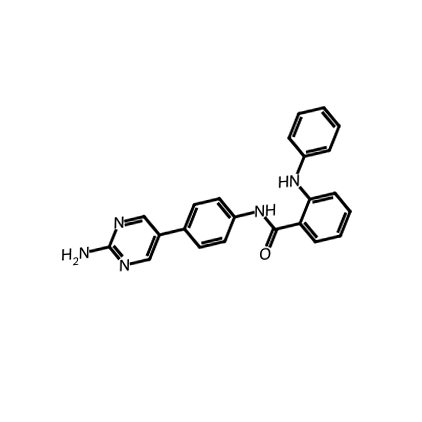 Nc1ncc(-c2ccc(NC(=O)c3ccccc3Nc3ccccc3)cc2)cn1